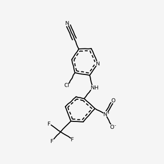 N#Cc1cnc(Nc2ccc(C(F)(F)F)cc2[N+](=O)[O-])c(Cl)c1